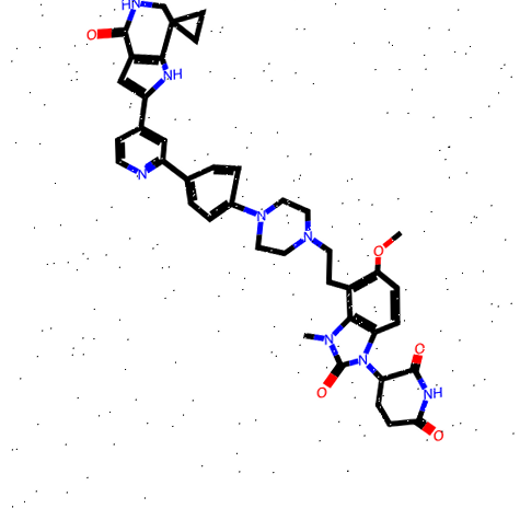 COc1ccc2c(c1CCN1CCN(c3ccc(-c4cc(-c5cc6c([nH]5)C5(CC5)CNC6=O)ccn4)cc3)CC1)n(C)c(=O)n2C1CCC(=O)NC1=O